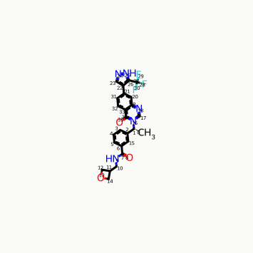 C[C@H](c1cccc(C(=O)NCC2COC2)c1)n1cnc2cc(-c3cn[nH]c3C(F)(F)F)ccc2c1=O